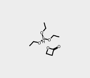 CCO[SiH](OCC)OCC.O=C1CCO1